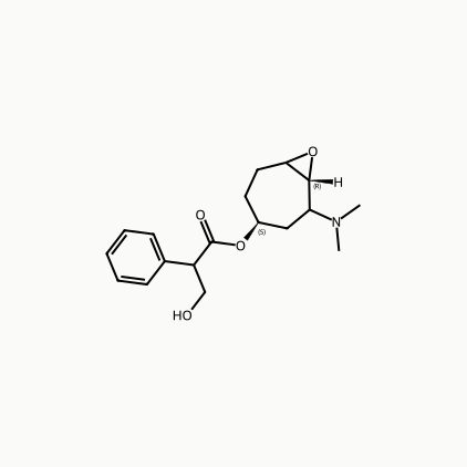 CN(C)C1C[C@@H](OC(=O)C(CO)c2ccccc2)CCC2O[C@@H]21